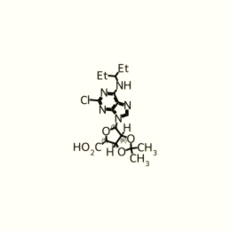 CCC(CC)Nc1nc(Cl)nc2c1ncn2[C@@H]1O[C@H](C(=O)O)[C@H]2OC(C)(C)O[C@H]21